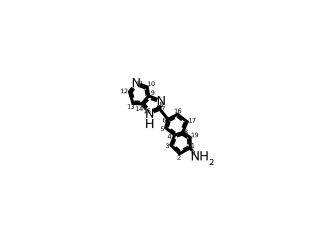 Nc1ccc2cc(-c3nc4cnccc4[nH]3)ccc2c1